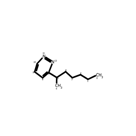 CCCCCC(C)c1cccnn1